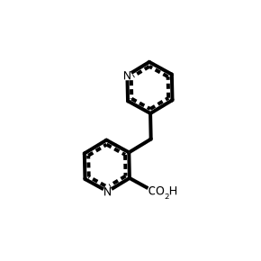 O=C(O)c1ncccc1Cc1cccnc1